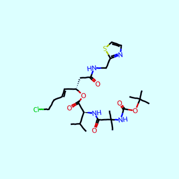 CC(C)[C@H](NC(=O)C(C)(C)NC(=O)OC(C)(C)C)C(=O)O[C@H](/C=C/CCCl)CC(=O)NCc1nccs1